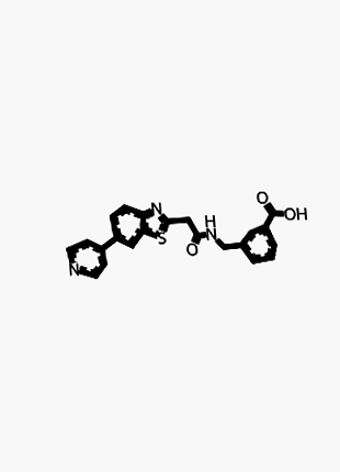 O=C(Cc1nc2ccc(-c3ccncc3)cc2s1)NCc1cccc(C(=O)O)c1